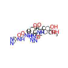 C=C1CCC2[C@](C)(CC[C@@H](O)[C@@]2(C)CO)C1CC(NC(C)C(=O)NC1=NCC=N1)C1=C/C(=C\c2ccc(NC(=O)CC(=O)NC3C4CN5CC3CN(C4)C5)cc2)OC1=O